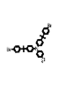 COc1ccc(N(c2ccc(C(C)(C)c3ccc(Br)cc3)cc2)c2ccc(C(C)(C)c3ccc(Br)cc3)cc2)cc1